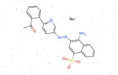 CC(=O)c1ccccc1-c1ccc(N=Nc2cc(S(=O)(=O)[O-])c3ccccc3c2N)cn1.[Na+]